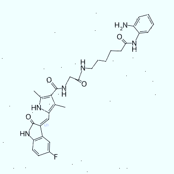 Cc1[nH]c(/C=C2\C(=O)Nc3ccc(F)cc32)c(C)c1C(=O)NCC(=O)NCCCCCC(=O)Nc1ccccc1N